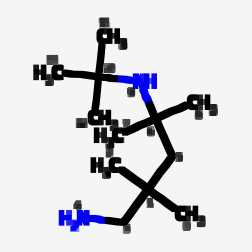 CC(C)(CN)CC(C)(C)NC(C)(C)C